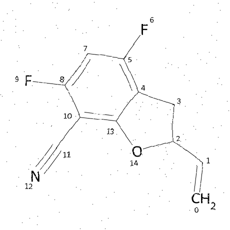 C=CC1Cc2c(F)cc(F)c(C#N)c2O1